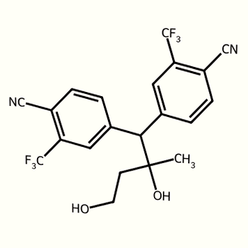 CC(O)(CCO)C(c1ccc(C#N)c(C(F)(F)F)c1)c1ccc(C#N)c(C(F)(F)F)c1